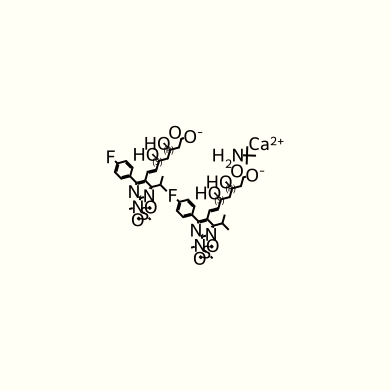 CC(C)(C)N.CC(C)c1nc(N(C)S(C)(=O)=O)nc(-c2ccc(F)cc2)c1C=C[C@@H](O)C[C@@H](O)CC(=O)[O-].CC(C)c1nc(N(C)S(C)(=O)=O)nc(-c2ccc(F)cc2)c1C=C[C@@H](O)C[C@@H](O)CC(=O)[O-].[Ca+2]